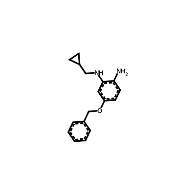 Nc1ccc(OCc2ccccc2)cc1NCC1CC1